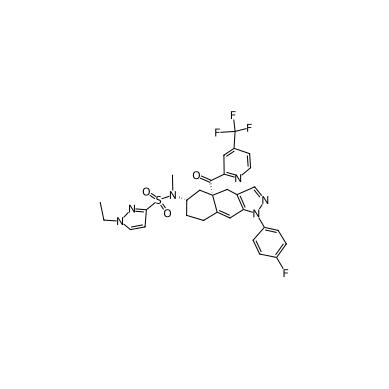 CCn1ccc(S(=O)(=O)N(C)[C@H]2CCC3=Cc4c(cnn4-c4ccc(F)cc4)C[C@]3(C(=O)c3cc(C(F)(F)F)ccn3)C2)n1